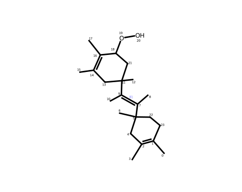 CC1=C(C)CC(C)(/C(C)=C(\C)C2(C)CC(C)=C(C)C(OO)C2)CC1